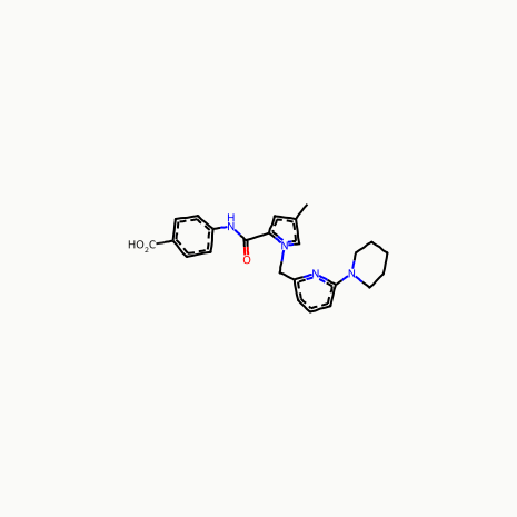 Cc1cc(C(=O)Nc2ccc(C(=O)O)cc2)n(Cc2cccc(N3CCCCC3)n2)c1